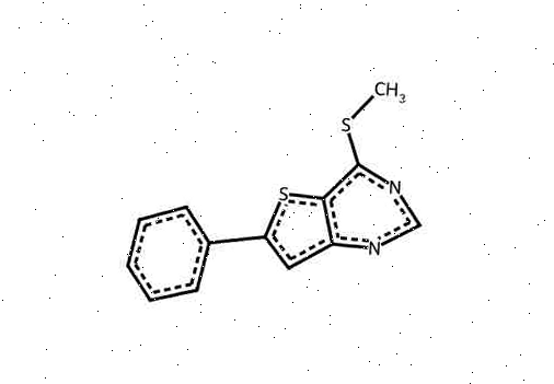 CSc1ncnc2cc(-c3ccccc3)sc12